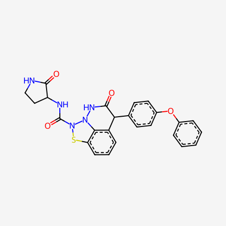 O=C1NCCC1NC(=O)N1Sc2cccc3c2N1NC(=O)C3c1ccc(Oc2ccccc2)cc1